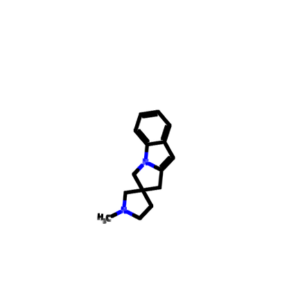 CN1CCC2(Cc3cc4ccccc4n3C2)C1